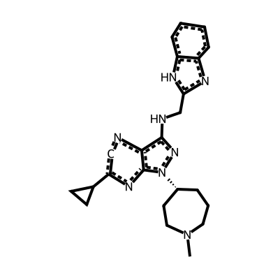 CN1CCC[C@@H](n2nc(NCc3nc4ccccc4[nH]3)c3ncc(C4CC4)nc32)CC1